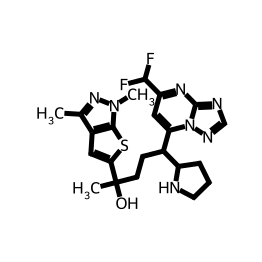 Cc1nn(C)c2sc(C(C)(O)CCC(c3cc(C(F)F)nc4ncnn34)C3CCCN3)cc12